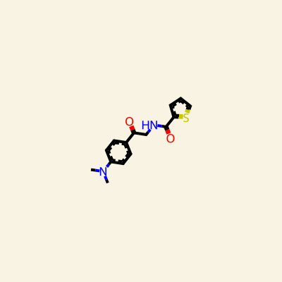 CN(C)c1ccc(C(=O)CNC(=O)c2cccs2)cc1